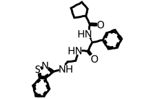 O=C(N[C@H](C(=O)NCCNc1nsc2ccccc12)c1ccccc1)C1CCCC1